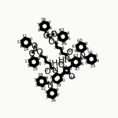 O=C(CCCCOP(Oc1ccccc1)Oc1ccccc1)NC1=CC(=[N+](c2ccccc2)c2ccccc2)C=C/C1=C1\C(=O)C(c2ccc(N(c3ccccc3)c3ccccc3)cc2NC(=O)CCCCOP(Oc2ccccc2)Oc2ccccc2)=C1[O-]